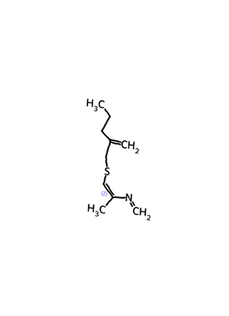 C=N/C(C)=C\SCC(=C)CCC